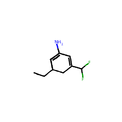 CCC1C=C(N)C=C(C(F)F)C1